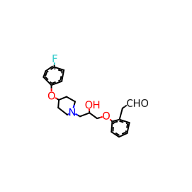 O=CCc1ccccc1OCC(O)CN1CCC(Oc2ccc(F)cc2)CC1